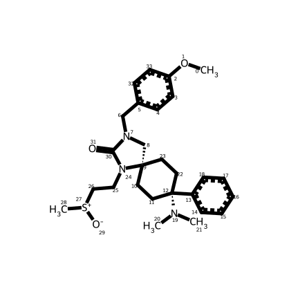 COc1ccc(CN2C[C@]3(CC[C@@](c4ccccc4)(N(C)C)CC3)N(CC[S+](C)[O-])C2=O)cc1